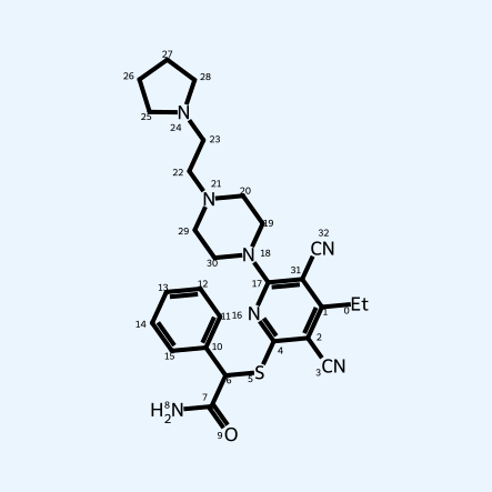 CCc1c(C#N)c(SC(C(N)=O)c2ccccc2)nc(N2CCN(CCN3CCCC3)CC2)c1C#N